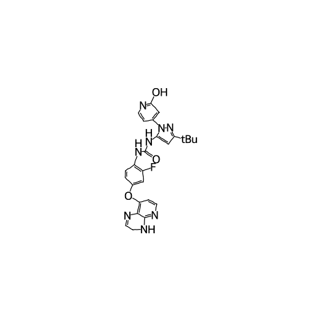 CC(C)(C)c1cc(NC(=O)Nc2ccc(Oc3ccnc4c3N=CCN4)cc2F)n(-c2ccnc(O)c2)n1